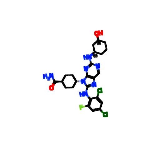 NC(=O)[C@H]1CC[C@H](n2c(Nc3c(F)cc(Cl)cc3Cl)nc3cnc(N[C@@H]4CCC[C@H](O)C4)nc32)CC1